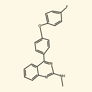 CNc1nc(-c2ccc(Oc3ccc(F)cc3)cc2)c2ccccc2n1